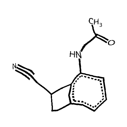 CC(=O)Nc1cccc2c1C(C#N)C2